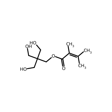 CC(C)=C(C)C(=O)OCC(CO)(CO)CO